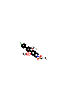 CCS(=O)(=O)N1CCC2(CC1)CC(=O)C(c1c(C)cc(-c3ccc(F)cc3)cc1OC)C(O)C2